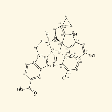 O=C(O)c1ccc2c(c1)nc1n2CC[C@@H]2[C@H]1[C@@H](c1cccc(Cl)c1F)[C@@]1(C(=O)Nc3cc(Cl)ccc31)N2CC1CC1